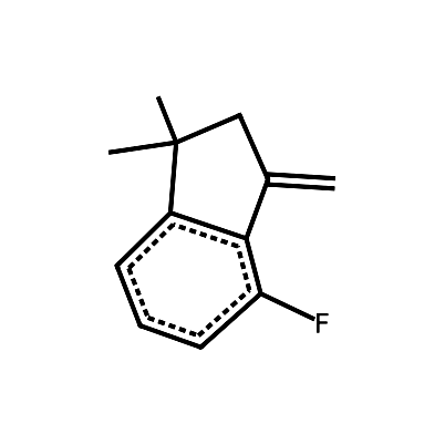 C=C1CC(C)(C)c2cccc(F)c21